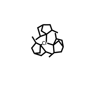 CC1CC2CC(C)[C]1([Cr]([C]13CC(CC1C)CC3C)[C]13CC(CC1C)CC3C)C2